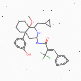 COC12CCCCC1(c1cccc(O)c1)CC(NC(=O)C(=Cc1ccccc1)C(F)(F)F)NC2CC1CC1